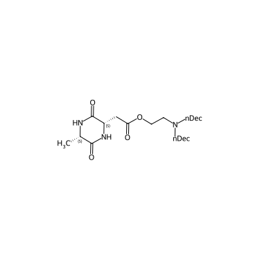 CCCCCCCCCCN(CCCCCCCCCC)CCOC(=O)C[C@@H]1NC(=O)[C@H](C)NC1=O